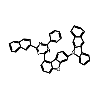 c1ccc(-c2nc(-c3ccc4ccccc4c3)nc(-c3cccc4oc5cc(-n6c7ccccc7c7cc8ccccc8cc76)ccc5c34)n2)cc1